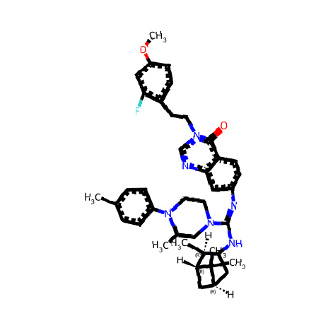 COc1ccc(CCn2cnc3cc(N=C(NC4C[C@H]5C[C@H]([C@H]4C)C5(C)C)N4CCN(c5ccc(C)cc5)C(C)C4)ccc3c2=O)c(F)c1